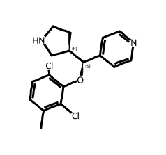 Cc1ccc(Cl)c(O[C@H](c2ccncc2)[C@@H]2CCNC2)c1Cl